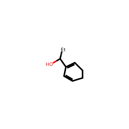 CCC(O)C1=CCCC=C1